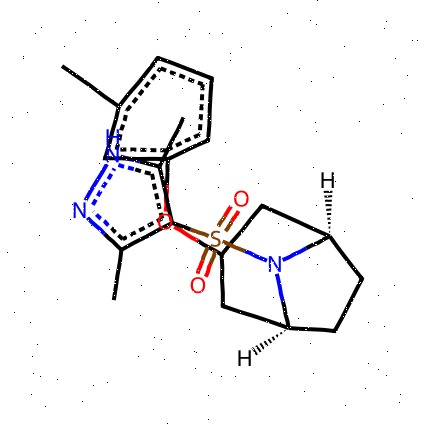 Cc1cccc(OC2C[C@H]3CC[C@@H](C2)N3S(=O)(=O)c2c(C)n[nH]c2C)c1